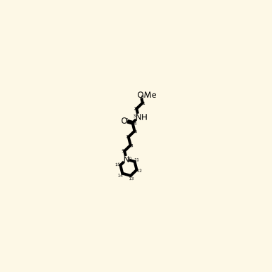 COCCNC(=O)CCCCN1CCCCC1